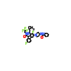 CCCCc1c(F)c(N2CCC(NC(=O)c3ccccc3)CC2)cc2c1C(C(=O)NCC(F)(F)F)c1cc(F)ccc1-2